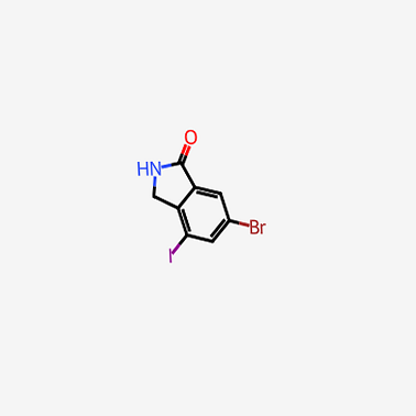 O=C1NCc2c(I)cc(Br)cc21